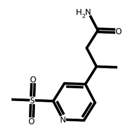 C[C](CC(N)=O)c1ccnc(S(C)(=O)=O)c1